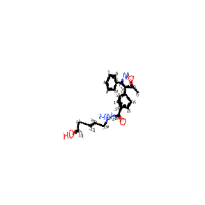 Cc1onc(-c2ccccc2)c1-c1ccc(C(=O)NCCCCCO)cc1